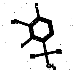 CCCc1c(F)ccc(C(C)(CC)CC)c1F